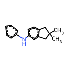 CC1(C)Cc2ccc(Nc3ccccc3)cc2C1